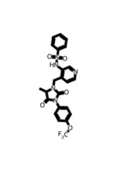 CC1C(=O)N(c2ccc(OC(F)(F)F)cc2)C(=O)N1Cc1ccncc1NS(=O)(=O)c1ccccc1